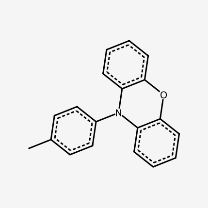 Cc1ccc(N2c3ccccc3Oc3ccccc32)cc1